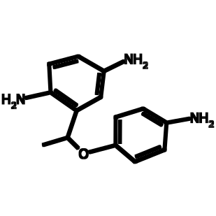 CC(Oc1ccc(N)cc1)c1cc(N)ccc1N